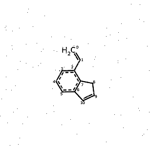 C=Cc1[c]ccc2c1CC=C2